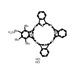 CC(C)(C)c1c(C(C)(C)C)c(C(C)(C)C)c2c3nc4nc(nc5[nH]c(nc6nc(nc([nH]3)c2c1C(C)(C)C)-c1ccccc1-6)c1ccccc51)-c1ccccc1-4.Cl.Cl.[GeH4]